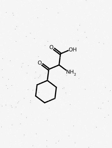 NC(C(=O)O)C(=O)C1CCCCC1